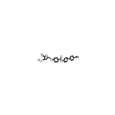 C=C1CC(COc2ccc(C(=O)Oc3ccc(-c4ccc(C#N)cc4)cc3)cc2)OC1=O